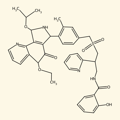 CCOC1C(=O)C2=C(c3ncccc31)C(OC(C)C)NC2c1ccc(CS(=O)(=O)CC(CNC(=O)c2ccccc2O)c2ccccn2)cc1C